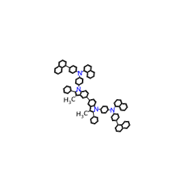 Cc1c(-c2ccccc2)n(-c2ccc(N(c3ccc(-c4cccc5ccccc45)cc3)c3cccc4ccccc34)cc2)c2ccc(-c3ccc4c(c3)c(C)c(-c3ccccc3)n4-c3ccc(N(c4ccc(-c5cccc6ccccc56)cc4)c4cccc5ccccc45)cc3)cc12